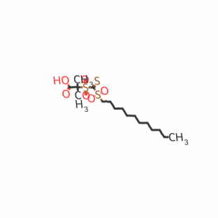 CCCCCCCCCCCCS(=O)(=O)C(=S)S(=O)(=O)C(C)(C)C(=O)O